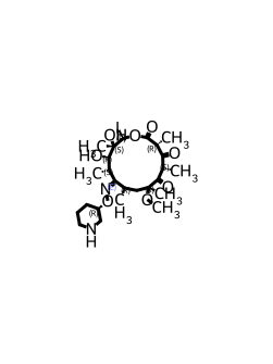 CO[C@]1(C)C[C@@H](C)/C(=N\O[C@@H]2CCCNC2)[C@H](C)[C@@H](O)[C@](C)(O)[C@@H](I)OC(=O)[C@H](C)C(=O)[C@H](C)C1=O